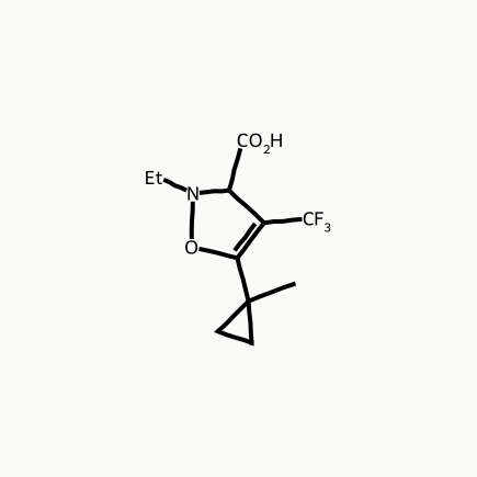 CCN1OC(C2(C)CC2)=C(C(F)(F)F)C1C(=O)O